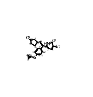 CCc1ccc(C(=C[C@H]2CCC(=O)C2)c2ccc(SC3CC3)cc2)[nH]c1=O